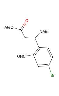 CNC(CC(=O)OC)c1ccc(Br)cc1C=O